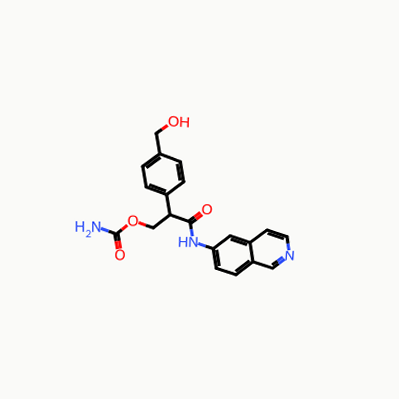 NC(=O)OCC(C(=O)Nc1ccc2cnccc2c1)c1ccc(CO)cc1